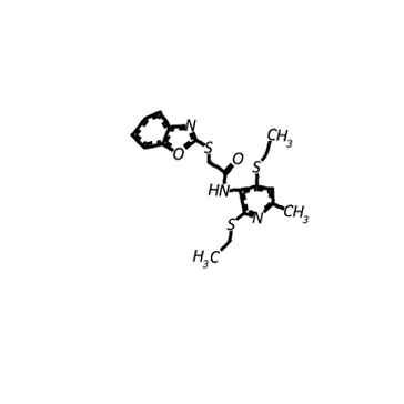 CCSc1cc(C)nc(SCC)c1NC(=O)CSc1nc2ccccc2o1